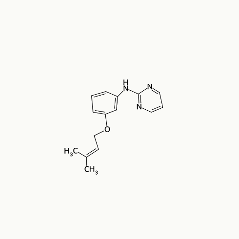 CC(C)=CCOc1cccc(Nc2ncccn2)c1